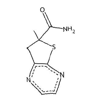 CC1(C(N)=O)Cc2nccnc2S1